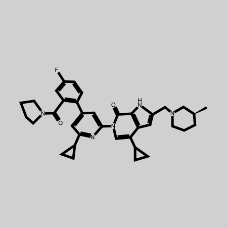 C[C@H]1CCCN(Cc2cc3c(C4CC4)cn(-c4cc(-c5ccc(F)cc5C(=O)N5CCCC5)cc(C5CC5)n4)c(=O)c3[nH]2)C1